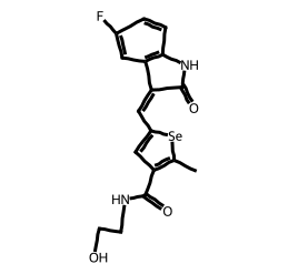 Cc1[se]c(C=C2C(=O)Nc3ccc(F)cc32)cc1C(=O)NCCO